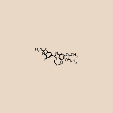 CC(Oc1cc2c3c(c1)nc(-c1cc(F)c4nc(N)sc4c1)n3CCCCO2)C(N)=O